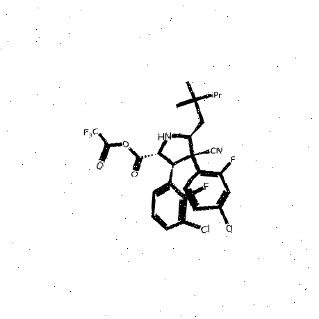 CC(C)C(C)(C)C[C@@H]1N[C@@H](C(=O)OC(=O)C(F)(F)F)[C@H](c2cccc(Cl)c2F)[C@@]1(C#N)c1ccc(Cl)cc1F